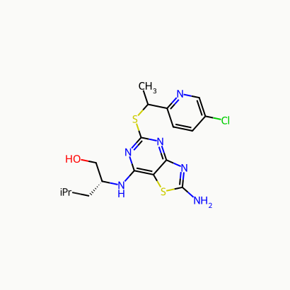 CC(C)C[C@H](CO)Nc1nc(SC(C)c2ccc(Cl)cn2)nc2nc(N)sc12